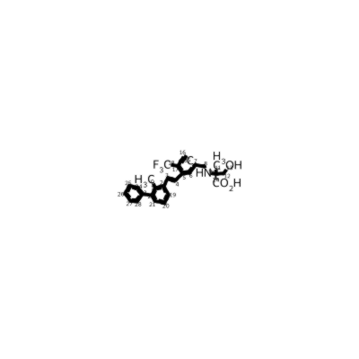 Cc1c(/C=C/c2cc(CN[C@](C)(CO)C(=O)O)ccc2C(F)(F)F)cccc1-c1ccccc1